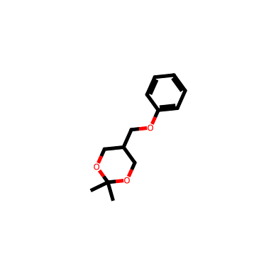 CC1(C)OCC(COc2ccccc2)CO1